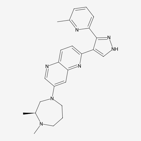 Cc1cccc(-c2n[nH]cc2-c2ccc3ncc(N4CCCN(C)[C@@H](C)C4)cc3n2)n1